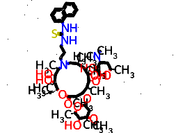 CC[C@H]1OC(=O)[C@H](C)[C@@H](O[C@H]2C[C@@](C)(OC)[C@@H](O)[C@H](C)O2)[C@H](C)[C@@H](O[C@@H]2O[C@H](C)C[C@H](N(C)C)[C@H]2O)[C@](C)(O)C[C@@H](C)CN(CCCNC(=S)Nc2cccc3ccccc23)[C@H](C)[C@@H](O)[C@]1(C)O